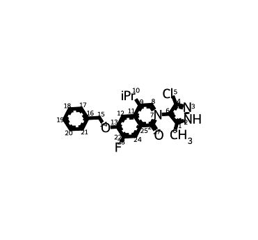 Cc1[nH]nc(Cl)c1-n1cc(C(C)C)c2cc(OCc3ccccc3)c(F)cc2c1=O